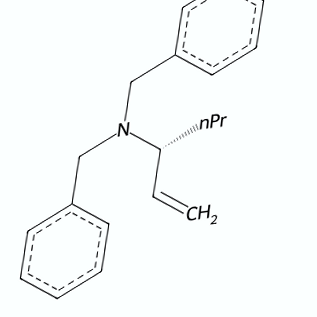 C=C[C@@H](CCC)N(Cc1ccccc1)Cc1ccccc1